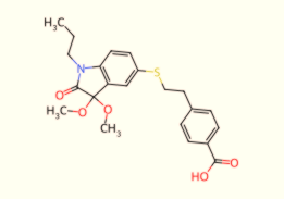 CCCN1C(=O)C(OC)(OC)c2cc(SCCc3ccc(C(=O)O)cc3)ccc21